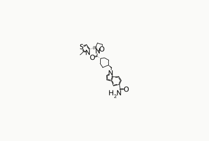 Cc1nc([C@@H]2CCON2C(=O)[C@H]2CC[C@H](Cn3ccc4cc(C(N)=O)ccc43)CC2)cs1